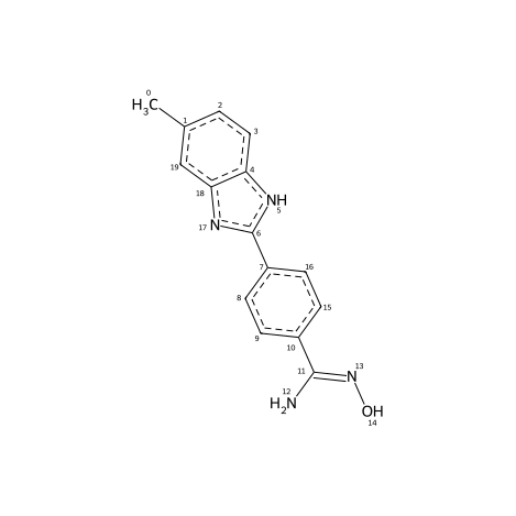 Cc1ccc2[nH]c(-c3ccc(/C(N)=N/O)cc3)nc2c1